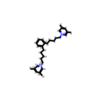 Cc1cc(C)c[n+](CCCCCc2ccccc2CCCCC[n+]2cc(C)cc(C)c2)c1